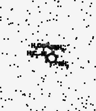 CCN1c2ccc(N)cc2C(N)=CC1C